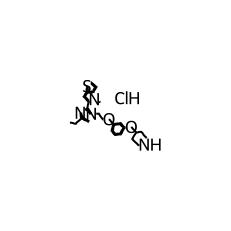 CCc1cn(CCOc2cccc(OC3CCNCC3)c2)c(-c2cc3sccc3n2C)n1.Cl